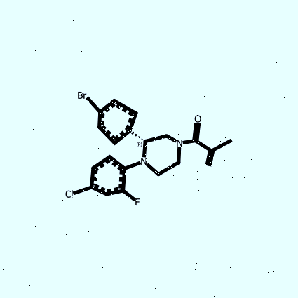 C=C(C)C(=O)N1CCN(c2ccc(Cl)cc2F)[C@H](c2ccc(Br)cc2)C1